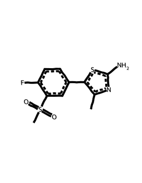 Cc1nc(N)sc1-c1ccc(F)c(S(C)(=O)=O)c1